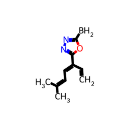 Bc1nnc(/C(C=C)=C/C=C(C)C)o1